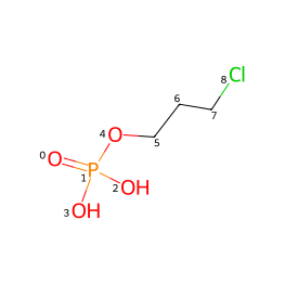 O=P(O)(O)OCCCCl